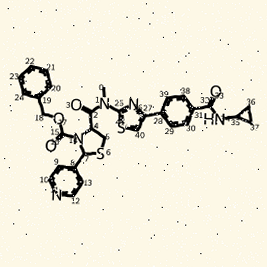 CN(C(=O)C1CSC(c2ccncc2)N1C(=O)OCc1ccccc1)c1nc(-c2ccc(C(=O)NC3CC3)cc2)cs1